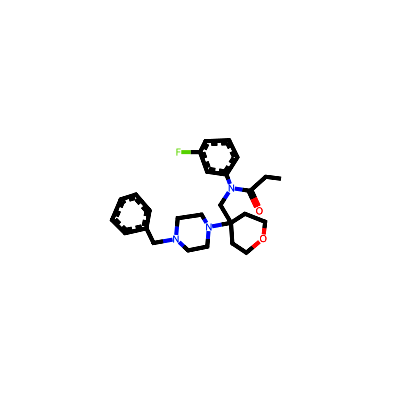 CCC(=O)N(CC1(N2CCN(Cc3ccccc3)CC2)CCOCC1)c1cccc(F)c1